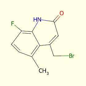 Cc1ccc(F)c2[nH]c(=O)cc(CBr)c12